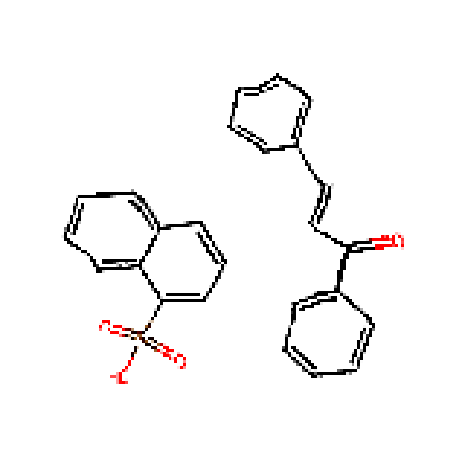 O=C(C=Cc1ccccc1)c1ccccc1.O=S(=O)(O)c1cccc2ccccc12